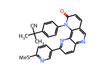 CSc1ccc(-c2ccc3ncc4ccc(=O)n(-c5ccc(C(C)(C)C#N)cc5)c4c3n2)cn1